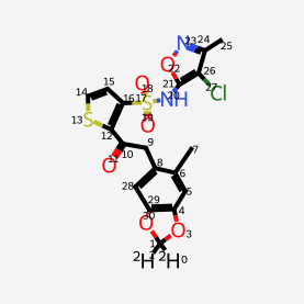 [2H]C1([2H])Oc2cc(C)c(CC(=O)c3sccc3S(=O)(=O)Nc3onc(C)c3Cl)cc2O1